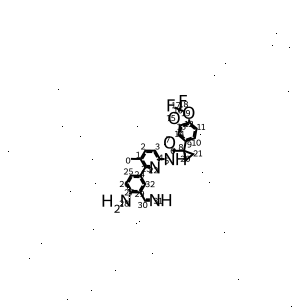 Cc1ccc(NC(=O)C2(c3ccc4c(c3)OC(F)(F)O4)CC2)nc1-c1ccc(N)c(C=N)c1